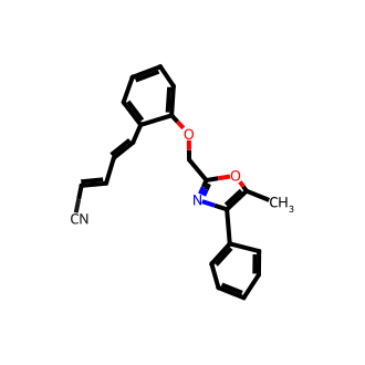 Cc1oc(COc2ccccc2C=CC=CC#N)nc1-c1ccccc1